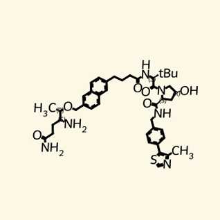 Cc1ncsc1-c1ccc(CNC(=O)[C@@H]2C[C@@H](O)CN2C(=O)[C@@H](NC(=O)CCCc2ccc3cc(CO[C@H](C)[C@@H](N)CCC(N)=O)ccc3c2)C(C)(C)C)cc1